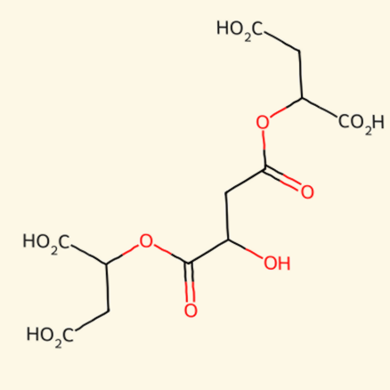 O=C(O)CC(OC(=O)CC(O)C(=O)OC(CC(=O)O)C(=O)O)C(=O)O